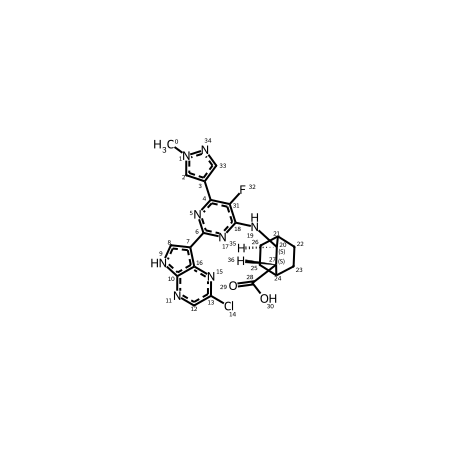 Cn1cc(-c2nc(-c3c[nH]c4ncc(Cl)nc34)nc(N[C@H]3C4CCC(CC4)[C@@H]3C(=O)O)c2F)cn1